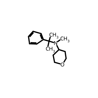 CN(C1CCOCC1)C(C)(C)c1ccccc1